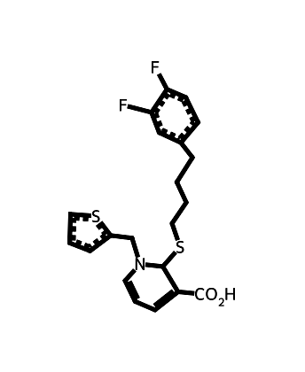 O=C(O)C1=CC=CN(Cc2cccs2)C1SCCCCc1ccc(F)c(F)c1